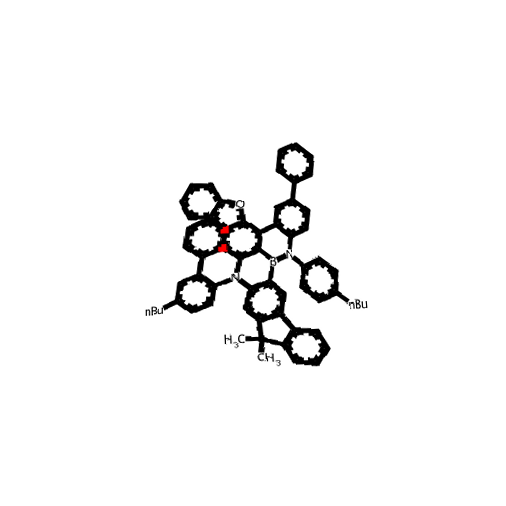 CCCCc1ccc(N2B3c4cc5c(cc4N(c4ccc(CCCC)cc4-c4ccccc4)c4cc6c(oc7ccccc76)c(c43)-c3cc(-c4ccccc4)ccc32)C(C)(C)c2ccccc2-5)cc1